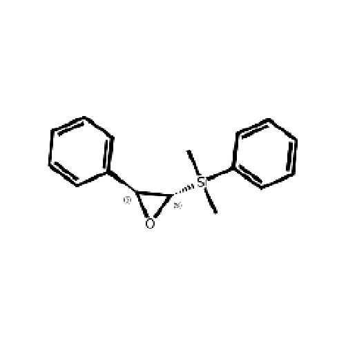 C[Si](C)(c1ccccc1)[C@@H]1O[C@H]1c1ccccc1